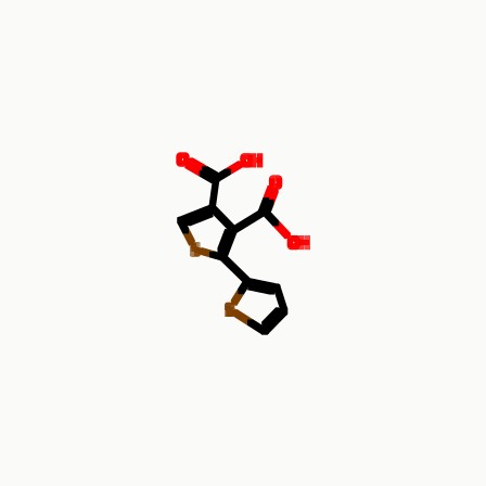 O=C(O)c1csc(-c2cccs2)c1C(=O)O